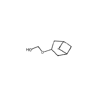 OCOC1CC2[C]C(C2)C1